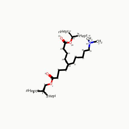 CCCCCCCC(CCCCCCC)COC(=O)CCCC(CCCCCN(C)C)CCCC(=O)OC(CCCCCCC)CCCCCCC